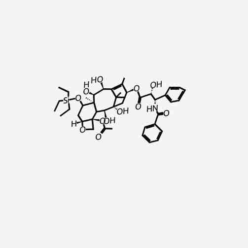 CC[Si](CC)(CC)OC1C[C@H]2OC[C@@]2(OC(C)=O)C2[C@H](O)[C@]3(O)C[C@H](OC(=O)[C@H](O)[C@@H](NC(=O)c4ccccc4)c4ccccc4)C(C)=C([C@H](O)[C@H](O)[C@]12C)C3(C)C